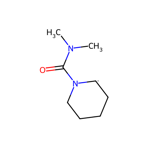 CN(C)C(=O)N1[CH]CCCC1